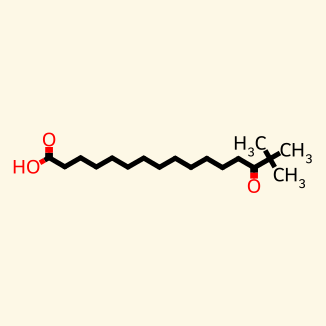 CC(C)(C)C(=O)CCCCCCCCCCCCC(=O)O